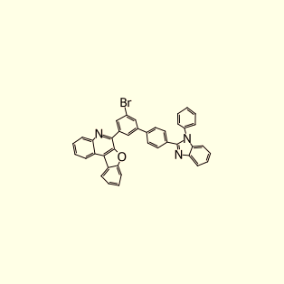 Brc1cc(-c2ccc(-c3nc4ccccc4n3-c3ccccc3)cc2)cc(-c2nc3ccccc3c3c2oc2ccccc23)c1